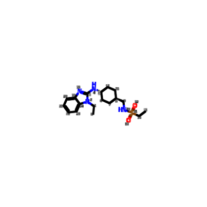 CCn1c(N[C@H]2CC[C@H](CNS(=O)(=O)CC)CC2)nc2ccccc21